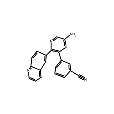 N#Cc1cccc(-c2nc(N)cnc2-c2ccc3ncccc3c2)c1